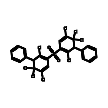 O=S(=O)(C1=C(Cl)C(c2ccccc2)C(Cl)(Cl)C(Cl)=C1)C1=C(Cl)C(c2ccccc2)C(Cl)(Cl)C(Cl)=C1